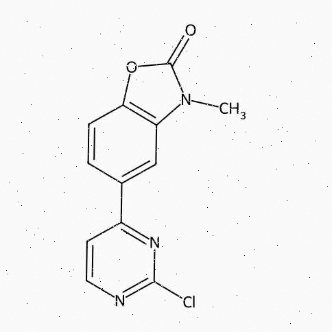 Cn1c(=O)oc2ccc(-c3ccnc(Cl)n3)cc21